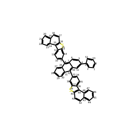 c1ccc(-c2ccc3c(-c4ccc5c(c4)sc4ccc6ccccc6c45)c4ccccc4c(-c4ccc5c(c4)sc4ccc6ccccc6c45)c3c2)cc1